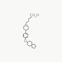 O=C(O)CCCCN1CCC(c2ccc(OC3CCC4(CCCC4)CC3)cc2)CC1